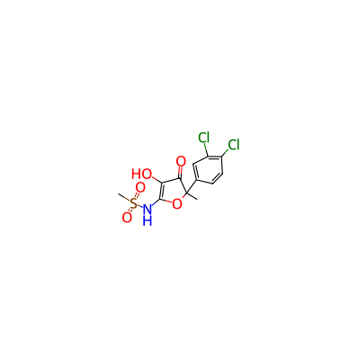 CC1(c2ccc(Cl)c(Cl)c2)OC(NS(C)(=O)=O)=C(O)C1=O